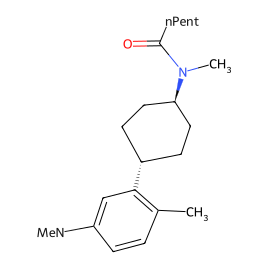 CCCCCC(=O)N(C)[C@H]1CC[C@H](c2cc(NC)ccc2C)CC1